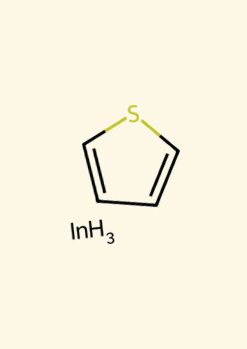 [InH3].c1ccsc1